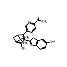 CNc1ccc(C2=C(c3nc4ccc(O)cc4s3)C(C)=C3CC2C3(C)C)cn1